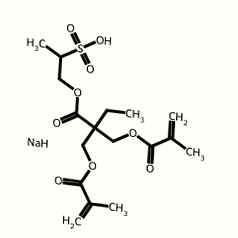 C=C(C)C(=O)OCC(CC)(COC(=O)C(=C)C)C(=O)OCC(C)S(=O)(=O)O.[NaH]